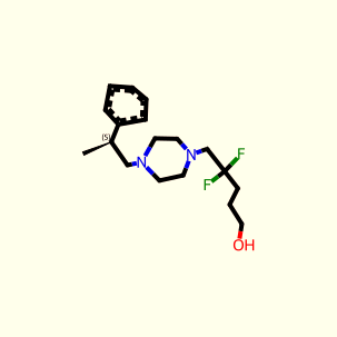 C[C@H](CN1CCN(CC(F)(F)CCCO)CC1)c1ccccc1